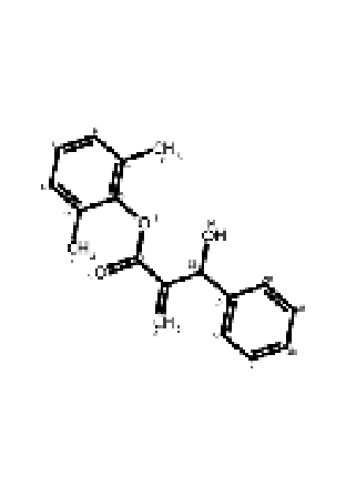 C=C(C(=O)Oc1c(C)cccc1C)C(O)c1ccccc1